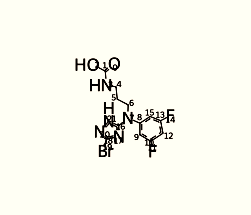 O=C(O)NCCCN(c1cc(F)cc(F)c1)c1nc(Br)n[nH]1